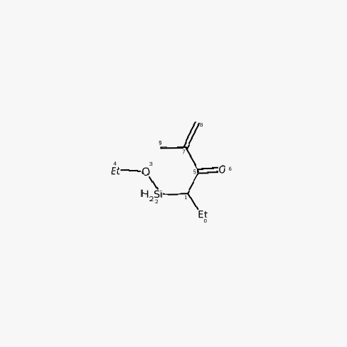 [CH2]CC([SiH2]OCC)C(=O)C(=C)C